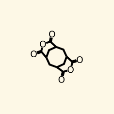 O=C1OC(=O)C2CC1CC1CC(C2)C(=O)OC1=O